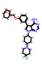 Nc1ncnc2c1c(-c1cccc(OCC34CCC(CC3)O4)c1)cn2C1CCC(N2CCC(F)(F)CC2)CC1